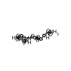 CNS(=O)(=O)c1cccc(OC[C@H](CNC2COC3(CCN(S(=O)(=O)c4cccc(-c5ccc(CNC(=O)C(N)=O)cc5)c4)CC3)C2)OC(=O)C(F)(F)F)c1